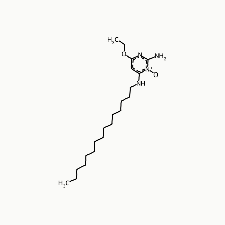 CCCCCCCCCCCCCCCNc1cc(OCC)nc(N)[n+]1[O-]